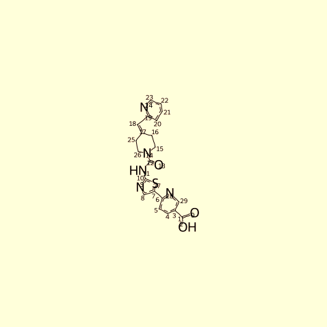 O=C(O)c1ccc(-c2cnc(NC(=O)N3CCC(=Cc4ccccn4)CC3)s2)nc1